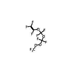 FC(F)=C(F)OC(F)(F)OC(F)(F)OOC(F)(F)F